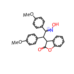 COc1ccc(/C(=N\O)C(c2ccc(OC)cc2)C2C(=O)Oc3ccccc32)cc1